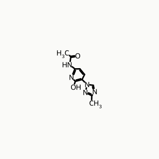 CC(=O)Nc1ccc(-n2cnc(C)n2)c(O)n1